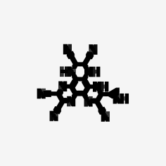 N#CC1=Nc2c(c3c(c4nc(C#N)c(C#N)nc24)NC(C#N)C(C#N)N3)NC1C1CN1